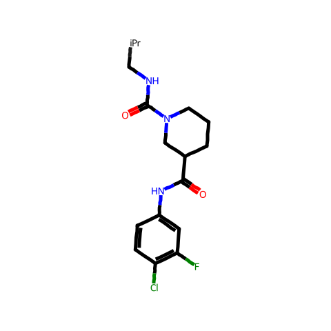 CC(C)CNC(=O)N1CCCC(C(=O)Nc2ccc(Cl)c(F)c2)C1